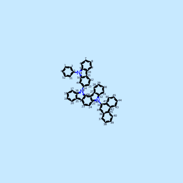 c1ccc(-n2c3ccccc3c3ccc(-n4c5ccccc5c5ccc6c(c7ccccc7n6-c6cc7ccccc7c7ccccc67)c54)cc32)cc1